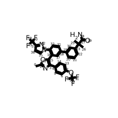 Cc1nc(-c2ccc(OC(F)(F)F)cc2)c(-c2cc(-c3cccc(C(C)(C)C(N)=O)c3)ccc2-n2ccc(C(F)(F)F)n2)o1